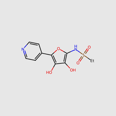 CCS(=O)(=O)Nc1oc(-c2ccncc2)c(O)c1O